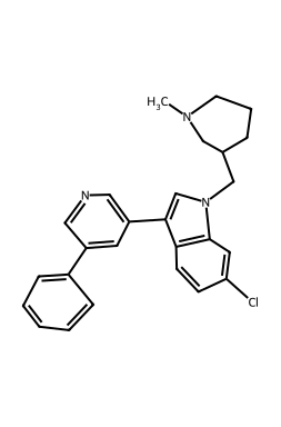 CN1CCCC(Cn2cc(-c3cncc(-c4ccccc4)c3)c3ccc(Cl)cc32)C1